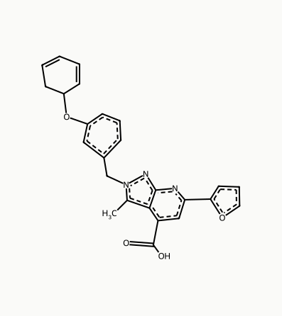 Cc1c2c(C(=O)O)cc(-c3ccco3)nc2nn1Cc1cccc(OC2C=CC=CC2)c1